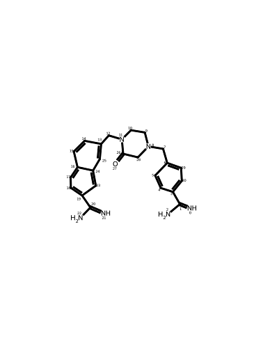 N=C(N)c1ccc(CN2CCN(Cc3ccc4ccc(C(=N)N)cc4c3)C(=O)C2)cc1